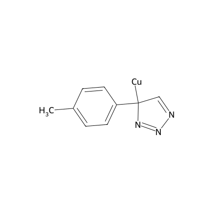 Cc1ccc([C]2([Cu])C=NN=N2)cc1